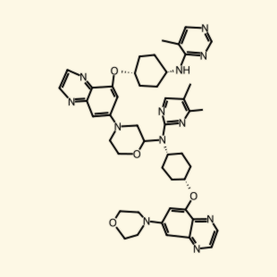 Cc1cnc(N(C2CN(c3cc(O[C@H]4CC[C@@H](Nc5ncncc5C)CC4)c4nccnc4c3)CCO2)[C@H]2CC[C@@H](Oc3cc(N4CCOCC4)cc4nccnc34)CC2)nc1C